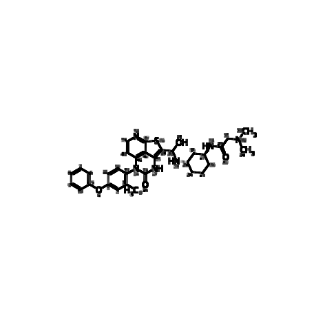 Cc1cc(Oc2ccccc2)ccc1N1C(=O)Nc2c(C(O)N[C@H]3CCC[C@H](NC(=O)CN(C)C)C3)sc3nccc1c23